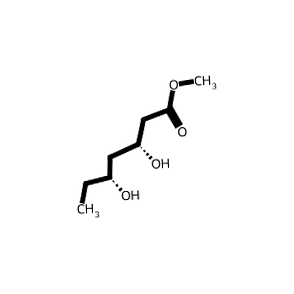 CC[C@@H](O)C[C@@H](O)CC(=O)OC